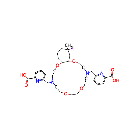 CC1(I)CCCC2OCCN(Cc3cccc(C(=O)O)n3)CCOCCOCCN(Cc3cccc(C(=O)O)n3)CCOC2C1